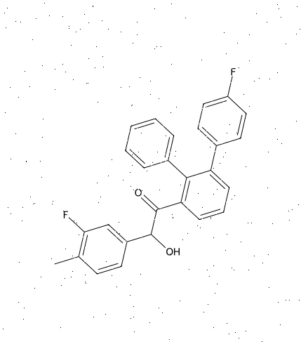 Cc1ccc(C(O)C(=O)c2cccc(-c3ccc(F)cc3)c2-c2ccccc2)cc1F